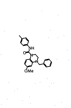 COc1ccc2c(c1)N(Cc1ccccc1)CCN2C(=O)Nc1ccc(C)cc1